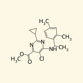 COC(=O)c1nc(C2CC2)nc(NC(C)c2ccc(C)cc2C)c1Cl